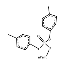 CCCCCOP(=O)(Oc1ccc(C)cc1)Oc1ccc(C)cc1